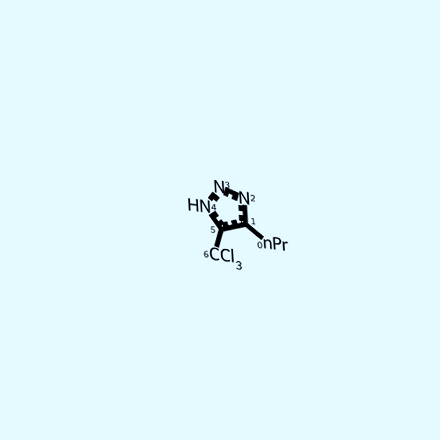 CCCc1nn[nH]c1C(Cl)(Cl)Cl